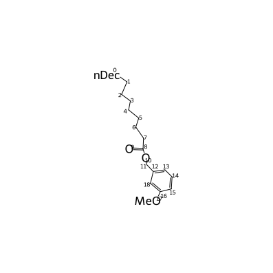 CCCCCCCCCCCCCCCCCC(=O)OCc1cccc(OC)c1